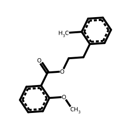 COc1ccccc1C(=O)OCCc1ccccc1C